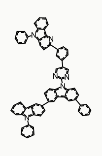 c1ccc(-c2ccc3c(c2)c2cc(-c4ccc5c(c4)c4ccccc4n5-c4ccccc4)ccc2n3-c2ncc(-c3cccc(-c4ccc5c(n4)c4ccccc4n5-c4ccccc4)c3)cn2)cc1